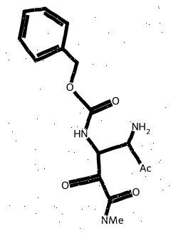 CNC(=O)C(=O)C(NC(=O)OCc1ccccc1)C(N)C(C)=O